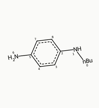 CC[CH]CNc1ccc(N)cc1